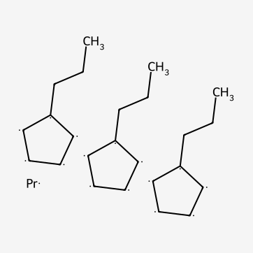 CCC[C]1[CH][CH][CH][CH]1.CCC[C]1[CH][CH][CH][CH]1.CCC[C]1[CH][CH][CH][CH]1.[Pr]